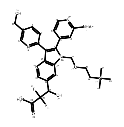 CC(=O)Nc1cc(-c2c(-c3ccc(CO)cn3)c3ncc(C(O)C(F)(F)C(N)=O)cc3n2COCC[Si](C)(C)C)ccn1